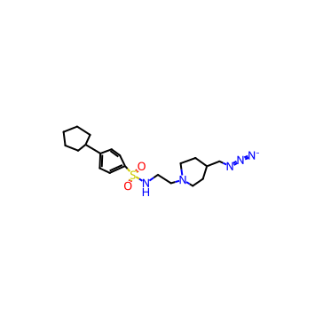 [N-]=[N+]=NCC1CCN(CCNS(=O)(=O)c2ccc(C3CCCCC3)cc2)CC1